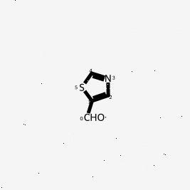 O=[C]c1cncs1